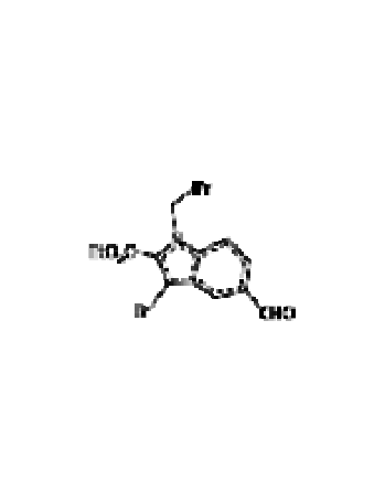 CCOC(=O)c1c(Br)c2cc(C=O)ccc2n1CC(C)C